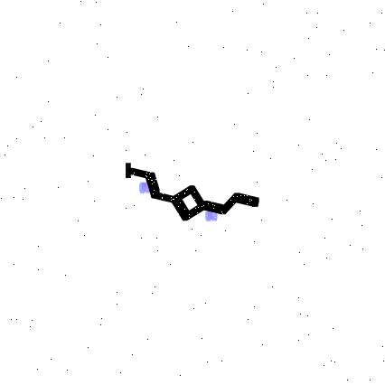 C=C/C=C1C=C(/C=C/I)C/1